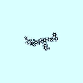 Cc1ccccc1C1CCCN1C1CC2(CCN(c3ccc(C(=O)NS(=O)(=O)c4cc5c(c([N+](=O)[O-])c4)NC(CN4CCN(C6COC6)C(C)C4)CO5)c(Oc4cnc5[nH]ccc5c4)c3)CC2)C1